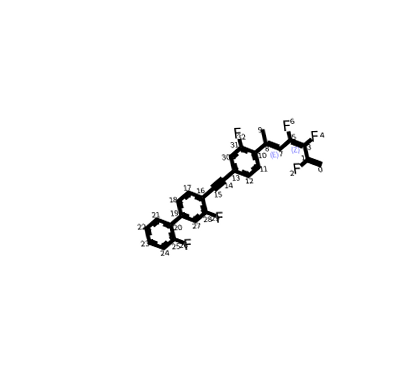 C=C(F)/C(F)=C(F)\C=C(/C)c1ccc(C#Cc2ccc(-c3ccccc3F)cc2F)cc1F